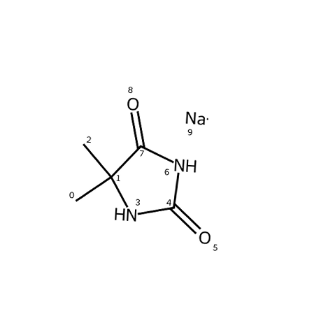 CC1(C)NC(=O)NC1=O.[Na]